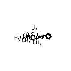 CC[C@@H]1CN(CC(=O)OCc2ccccc2)[C@@H](C)CN1C(=O)OC(C)(C)C